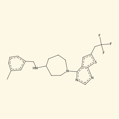 Cc1cccc(CNC2CCCN(c3ncnc4sc(CC(F)(F)F)cc34)CC2)c1